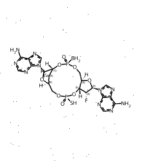 BP1(=O)OC[C@H]2O[C@@H](n3cnc4c(N)ncnc43)[C@H](F)[C@@H]2OP(=O)(S)OC[C@H]2O[C@@H](n3cnc4c(N)ncnc43)[C@H](O1)[C@@H]2F